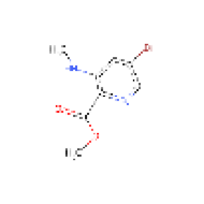 CNc1cc(Br)cnc1C(=O)OC